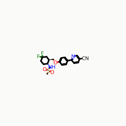 CS(=O)(=O)N[C@H]1CCC(F)(F)C[C@H]1COc1ccc(-c2ccc(C#N)cn2)cc1